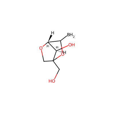 BC1OC2(CO)CO[C@H]1[C@H]2O